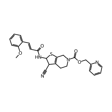 COc1ccccc1/C=C/C(=O)NC1SC2=C(CCN(C(=O)OCc3ccccn3)C2)C1C#N